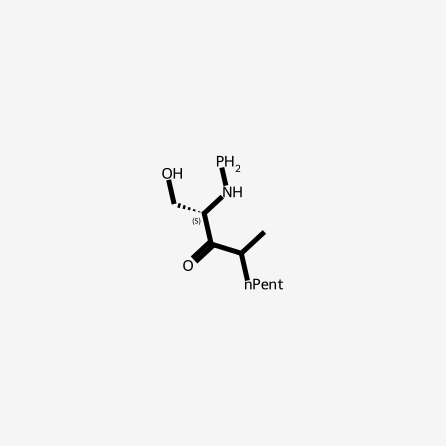 CCCCCC(C)C(=O)[C@H](CO)NP